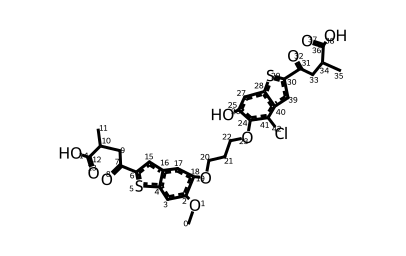 COc1cc2sc(C(=O)CC(C)C(=O)O)cc2cc1OCCCOc1c(O)cc2sc(C(=O)CC(C)C(=O)O)cc2c1Cl